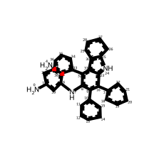 Nc1cc(N)cc(Nc2c(-c3ccccc3)c(-c3ccccc3)c3[nH]c4ccccc4c3c2-c2ccccc2)c1